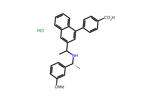 COc1cccc([C@@H](C)NC(C)c2cc(-c3ccc(C(=O)O)cc3)c3ccccc3c2)c1.Cl